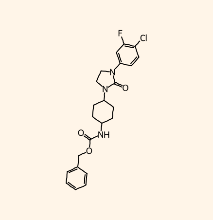 O=C(NC1CCC(N2CCN(c3ccc(Cl)c(F)c3)C2=O)CC1)OCc1ccccc1